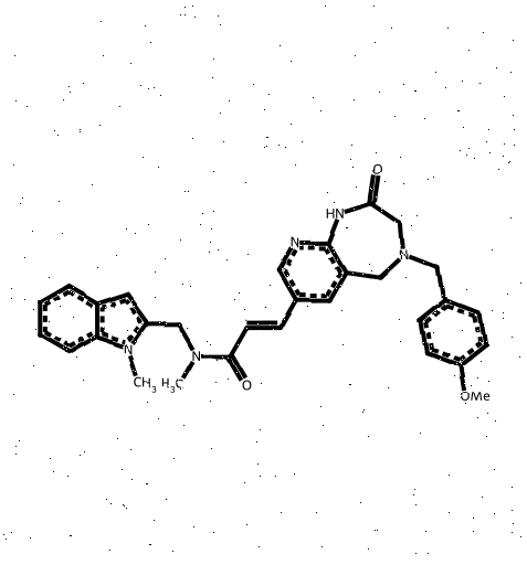 COc1ccc(CN2CC(=O)Nc3ncc(C=CC(=O)N(C)Cc4cc5ccccc5n4C)cc3C2)cc1